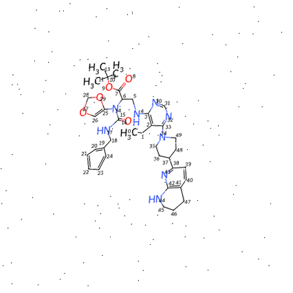 CCc1c(NCC(C(=O)OC(C)(C)C)N(C(=O)NCc2ccccc2)C2=COCO2)ncnc1N1CCC(c2ccc3c(n2)NCCC3)CC1